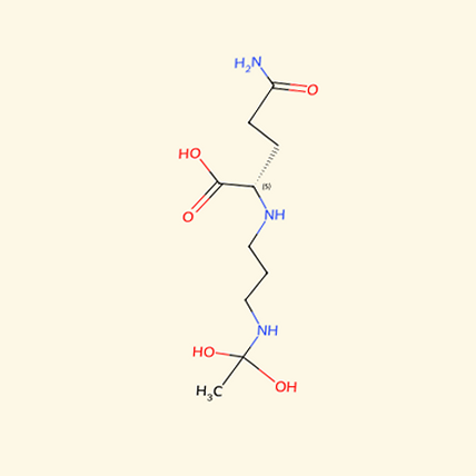 CC(O)(O)NCCCN[C@@H](CCC(N)=O)C(=O)O